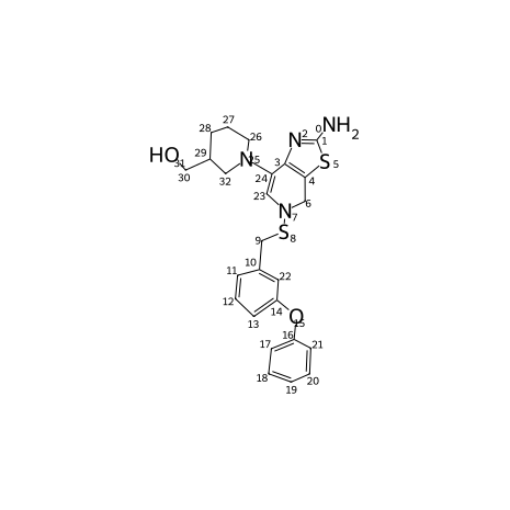 Nc1nc2c(s1)CN(SCc1cccc(Oc3ccccc3)c1)C=C2N1CCCC(CO)C1